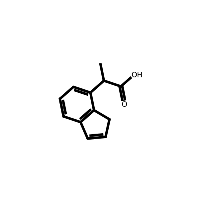 CC(C(=O)O)c1cccc2c1CC=C2